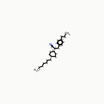 CCCCCCC[C@H]1CC[C@H](C(C#N)Cc2ccc(CCC)cc2)CC1